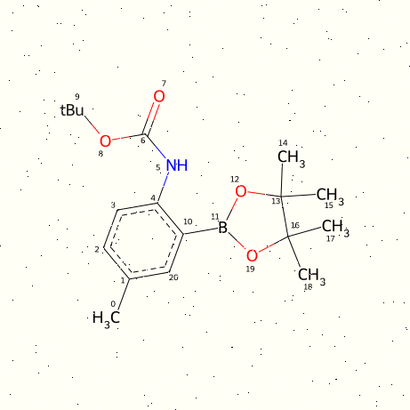 Cc1ccc(NC(=O)OC(C)(C)C)c(B2OC(C)(C)C(C)(C)O2)c1